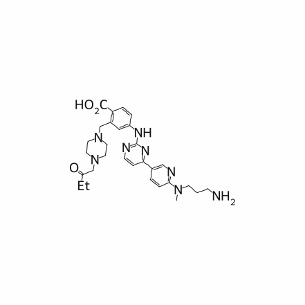 CCC(=O)CN1CCN(Cc2cc(Nc3nccc(-c4ccc(N(C)CCCN)nc4)n3)ccc2C(=O)O)CC1